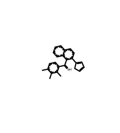 Cc1ccc(C(=N)c2c(C3=CC=CC3)ccc3ccccc23)c(C)c1C